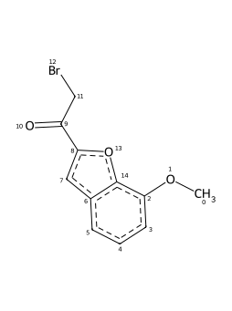 COc1cccc2cc(C(=O)CBr)oc12